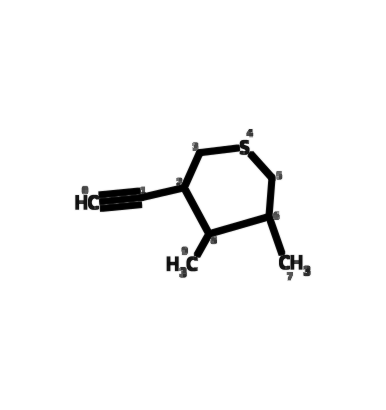 C#CC1CSCC(C)C1C